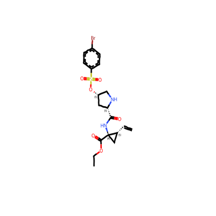 C=C[C@@H]1C[C@]1(NC(=O)[C@@H]1C[C@H](OS(=O)(=O)c2ccc(Br)cc2)CN1)C(=O)OCC